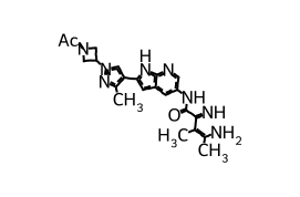 CC(=O)N1CC(n2cc(-c3cc4cc(NC(=O)C(=N)/C(C)=C(/C)N)cnc4[nH]3)c(C)n2)C1